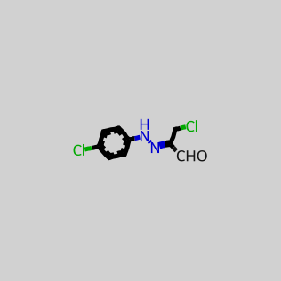 O=CC(CCl)=NNc1ccc(Cl)cc1